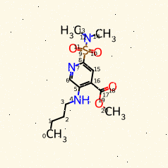 CCCCNc1cnc(S(=O)(=O)N(C)C)cc1C(=O)OC